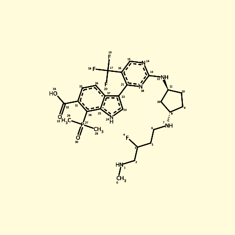 CNCC(F)CCN[C@H]1CC[C@H](Nc2ncc(C(F)(F)F)c(-c3c[nH]c4c(P(C)(C)=O)c(C(=O)O)ccc34)n2)C1